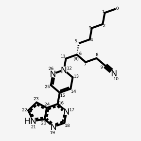 CCCCCC[C@H](CCC#N)CN1CC=C(c2ncnc3[nH]ccc23)C=N1